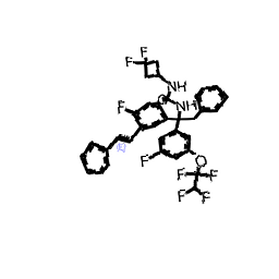 O=C(NC1CC(F)(F)C1)NC(Cc1ccccc1)(c1cc(F)cc(OC(F)(F)C(F)F)c1)c1ccc(F)c(/C=C/c2ccccc2)c1